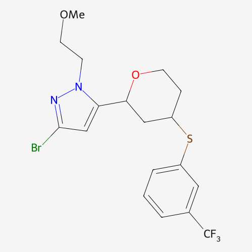 COCCn1nc(Br)cc1C1CC(Sc2cccc(C(F)(F)F)c2)CCO1